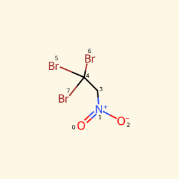 O=[N+]([O-])CC(Br)(Br)Br